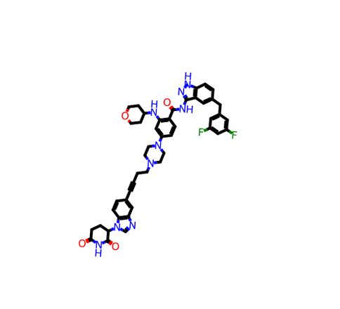 O=C1CCC(n2cnc3cc(C#CCCN4CCN(c5ccc(C(=O)Nc6n[nH]c7ccc(Cc8cc(F)cc(F)c8)cc67)c(NC6CCOCC6)c5)CC4)ccc32)C(=O)N1